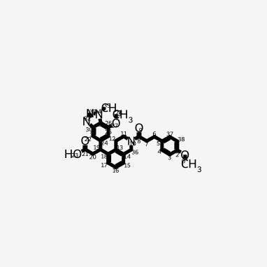 COc1ccc(CCC(=O)N2CCc3c(cccc3C(CC(=O)O)c3cc(OC)c4c(c3)nnn4C)C2)cc1